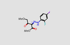 COCC(=O)/C(=N/Nc1ccc(I)cc1F)C(=O)OC